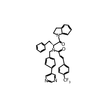 O=C([C@H](Cc1ccccc1)N(Cc1ccc(-c2cncnc2)cc1)C(=O)C=Cc1ccc(C(F)(F)F)cc1)N1CCc2ccccc21